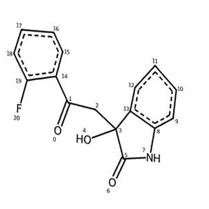 O=C(CC1(O)C(=O)Nc2ccccc21)c1ccccc1F